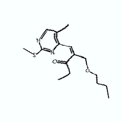 CCCCOC/C(=C/c1nc(SC)ncc1C)C(=O)CC